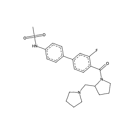 CS(=O)(=O)Nc1ccc(-c2ccc(C(=O)N3CCCC3CN3CCCC3)c(F)c2)cc1